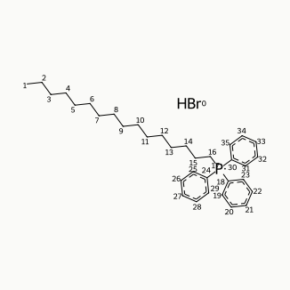 Br.CCCCCCCCCCCCCCCC[P](c1ccccc1)(c1ccccc1)c1ccccc1